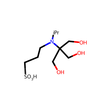 CC(C)N(CCCS(=O)(=O)O)C(CO)(CO)CO